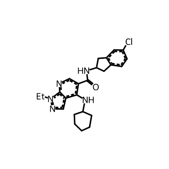 CCn1ncc2c(NC3CCCCC3)c(C(=O)NC3Cc4ccc(Cl)cc4C3)cnc21